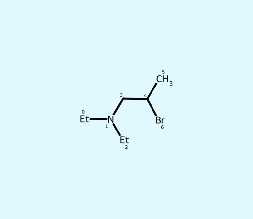 CCN(CC)CC(C)Br